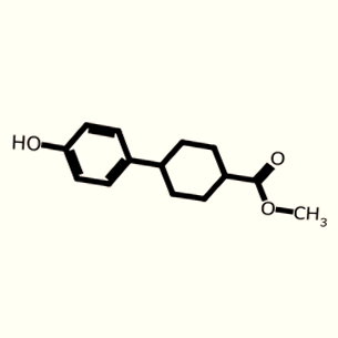 COC(=O)C1CCC(c2ccc(O)cc2)CC1